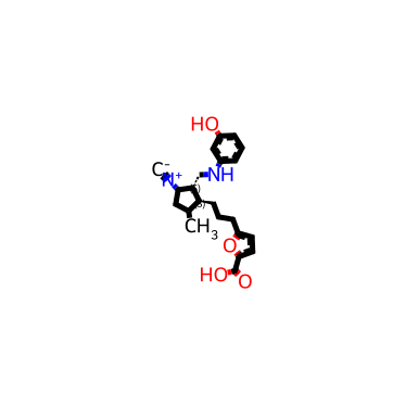 [C-]#[N+]C1CC(C)[C@H](CCCc2ccc(C(=O)O)o2)[C@H]1CNc1cccc(O)c1